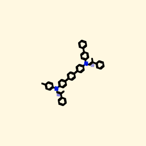 C/C(=C\N(c1ccc(C)cc1)c1ccc(-c2ccc(-c3ccc(N(/C=C(\C)c4ccccc4)c4ccc(-c5ccccc5)cc4)cc3)cc2)cc1)c1ccccc1